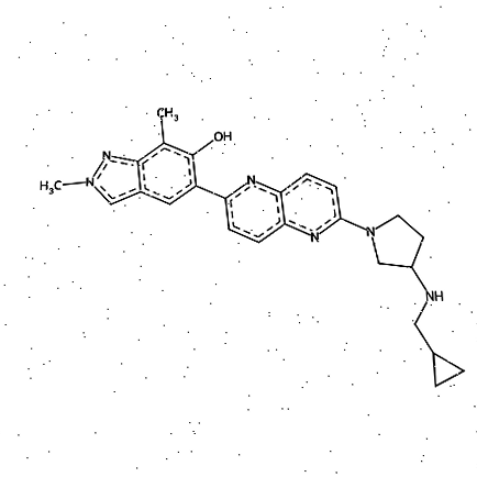 Cc1c(O)c(-c2ccc3nc(N4CCC(NCC5CC5)C4)ccc3n2)cc2cn(C)nc12